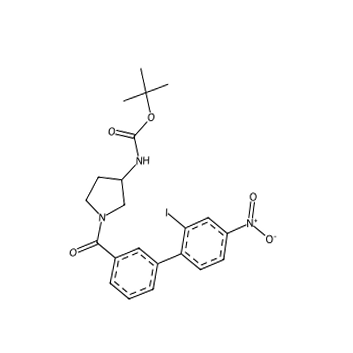 CC(C)(C)OC(=O)NC1CCN(C(=O)c2cccc(-c3ccc([N+](=O)[O-])cc3I)c2)C1